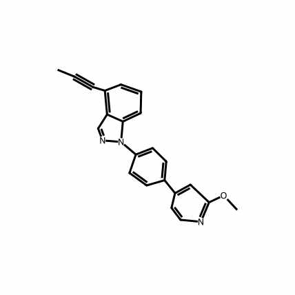 CC#Cc1cccc2c1cnn2-c1ccc(-c2ccnc(OC)c2)cc1